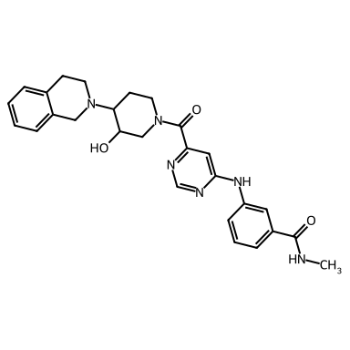 CNC(=O)c1cccc(Nc2cc(C(=O)N3CCC(N4CCc5ccccc5C4)C(O)C3)ncn2)c1